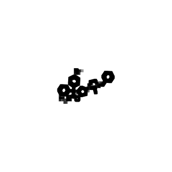 CC1=[N+](Cc2ccccc2)CCN1[C@H]1CC[C@@H](C(C(N)=O)(c2ccccc2)c2ccccc2)C1.[Br-]